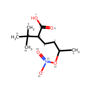 CC(CCC(C(=O)O)C(C)(C)C)O[N+](=O)[O-]